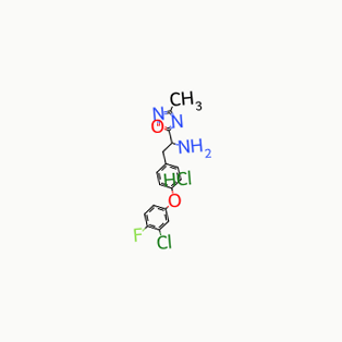 Cc1noc(C(N)Cc2ccc(Oc3ccc(F)c(Cl)c3)cc2)n1.Cl